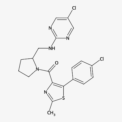 Cc1nc(C(=O)N2CCCC2CNc2ncc(Cl)cn2)c(-c2ccc(Cl)cc2)s1